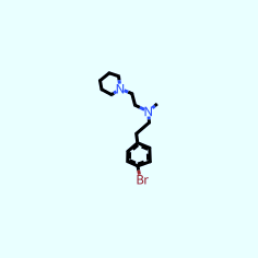 CN(CCc1ccc(Br)cc1)CCN1CCCCC1